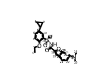 CCOc1ccc(C2CC2)cc1S(=O)(=O)NC(=O)c1cc2ccc(N(C)C)cc2o1